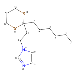 CCCCCCC1(CCn2ccnc2)SCCCS1